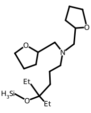 CCC(CC)(CCCN(CC1CCCO1)CC1CCCO1)O[SiH3]